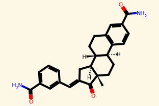 C[C@]12CC[C@@H]3c4ccc(C(N)=O)cc4CC[C@H]3[C@@H]1C/C(=C\c1cccc(C(N)=O)c1)C2=O